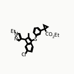 CCOC(=O)C1(c2cccc(SC3=C(C)C(c4cnn(CC)c4)c4cc(Cl)ccc43)c2)CC1